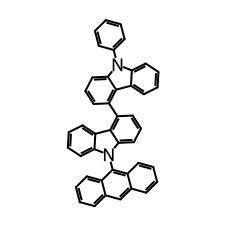 c1ccc(-n2c3ccccc3c3c(-c4cccc5c4c4ccccc4n5-c4c5ccccc5cc5ccccc45)cccc32)cc1